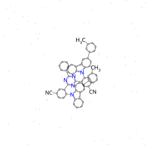 Cc1cccc(-c2ccc3c(c2)c2ccccc2n3-c2ccc(C#N)cc2-c2nc(-c3ccccc3)nc(-c3cc(C#N)ccc3-n3c4ccccc4c4cc(-c5cccc(C)c5)ccc43)n2)c1